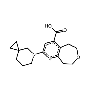 O=C(O)c1cc(N2CCCC3(CC3)C2)nc2c1CCOCC2